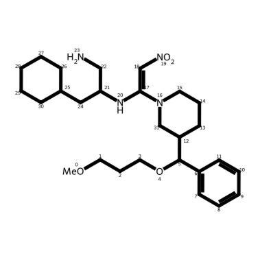 COCCCOC(c1ccccc1)C1CCCN(/C(=C\[N+](=O)[O-])NC(CN)CC2CCCCC2)C1